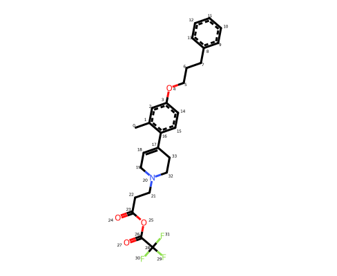 Cc1cc(OCCCc2ccccc2)ccc1C1=CCN(CCC(=O)OC(=O)C(F)(F)F)CC1